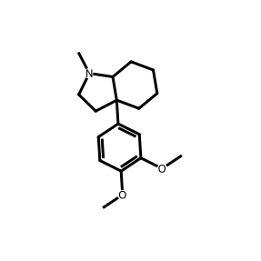 COc1ccc(C23CCCCC2N(C)CC3)cc1OC